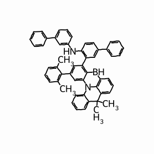 Cc1cccc(C)c1-c1cc(-c2cc(-c3ccccc3)ccc2Nc2cccc(-c3ccccc3)c2)c2c(c1)N1c3ccccc3C(C)(C)c3cccc(c31)B2